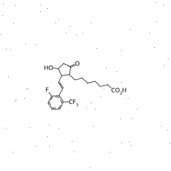 O=C(O)CCCCCCC1C(=O)CC(O)C1/C=C/c1c(F)cccc1C(F)(F)F